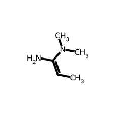 CC=C(N)N(C)C